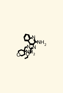 CCOCc1nc2c(N)nc3ccccc3c2n1CC1(N)CCOCC1